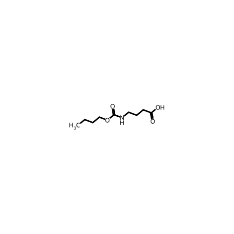 CCCCOC(=O)NCCCC(=O)O